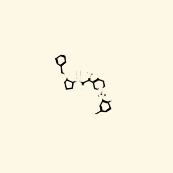 O=C(NC1CCCC1OCc1ccccc1)c1noc2c1CN(S(=O)(=O)c1cc(Cl)ccc1Cl)CC2